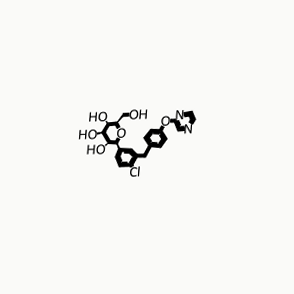 OC[C@H]1O[C@@H](c2ccc(Cl)c(Cc3ccc(Oc4cnccn4)cc3)c2)[C@H](O)[C@@H](O)[C@@H]1O